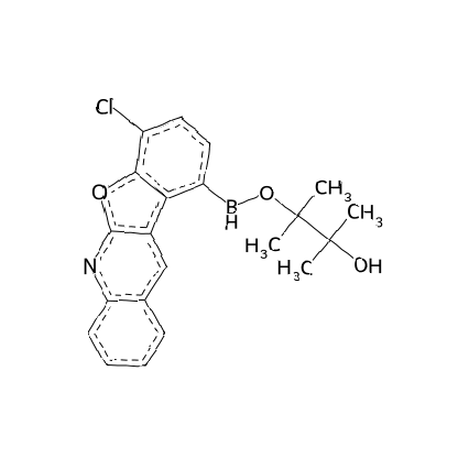 CC(C)(O)C(C)(C)OBc1ccc(Cl)c2oc3nc4ccccc4cc3c12